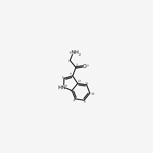 NCC(=O)c1c[nH]c2ccccc12